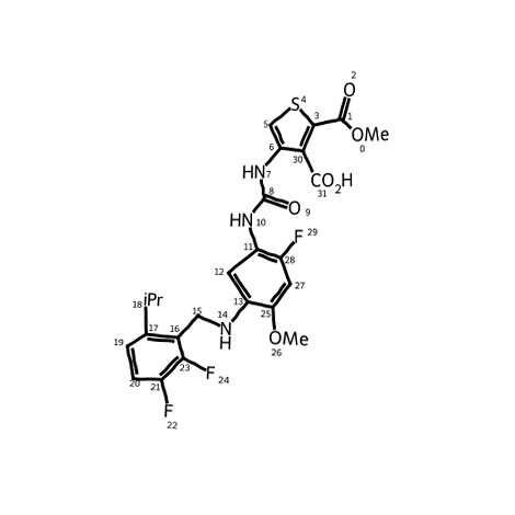 COC(=O)c1scc(NC(=O)Nc2cc(NCc3c(C(C)C)ccc(F)c3F)c(OC)cc2F)c1C(=O)O